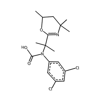 CC1CC(C)(C)N=C(C(C)(C)N(C(=O)O)c2cc(Cl)cc(Cl)c2)O1